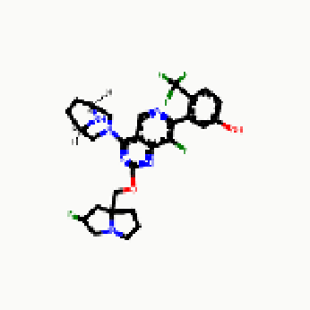 Oc1ccc(C(F)(F)F)c(-c2ncc3c(N4C[C@H]5CC[C@@H](C4)N5)nc(OCC45CCCN4CC(F)C5)nc3c2F)c1